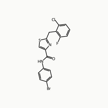 O=C(Nc1ccc(Br)cc1)c1csc(Cc2c(F)cccc2Cl)n1